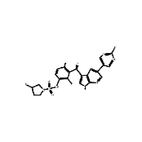 O=C(c1c(F)ccc(NS(=O)(=O)N2CCC(F)C2)c1F)c1c[nH]c2ncc(-c3cnc(Cl)nc3)cc12